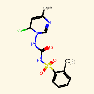 CCOC(=O)c1ccccc1S(=O)(=O)NC(=O)NN1C=NC(OC)=CC1Cl